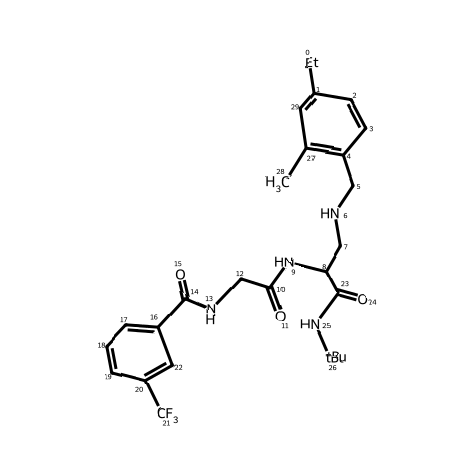 CCc1ccc(CNCC(NC(=O)CNC(=O)c2cccc(C(F)(F)F)c2)C(=O)NC(C)(C)C)c(C)c1